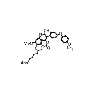 CCCCCCCCCCCCCCCCOC(=O)Oc1c(-c2ccc(Oc3ccc(OC(F)(F)F)cc3)cc2)c(C)nc2cc(OC)c(Cl)cc12